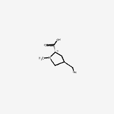 CN1CC(CO)C[C@H]1C(=O)O